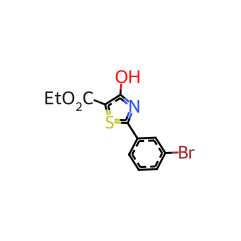 CCOC(=O)c1sc(-c2cccc(Br)c2)nc1O